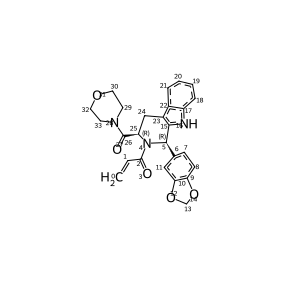 C=CC(=O)N1[C@H](c2ccc3c(c2)OCO3)c2[nH]c3ccccc3c2C[C@@H]1C(=O)N1CCOCC1